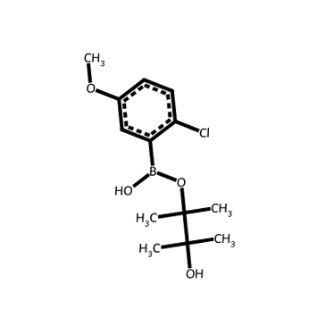 COc1ccc(Cl)c(B(O)OC(C)(C)C(C)(C)O)c1